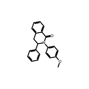 COc1ccc(N2C(=O)c3ccccc3CC2c2ccccc2)cc1